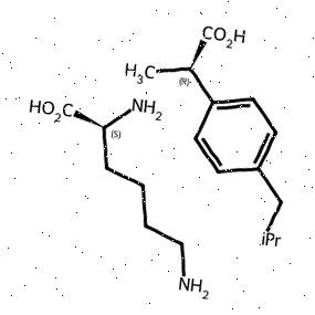 CC(C)Cc1ccc([C@@H](C)C(=O)O)cc1.NCCCC[C@H](N)C(=O)O